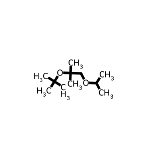 CC(C)OCC(C)(C)OC(C)(C)C